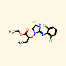 CCOC(=O)C(CC)ON1CCN/C1=N\c1c(Cl)cccc1Cl.Cl